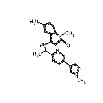 CC(Nc1cc(=O)n(C)c2ccc(N)cc12)c1ncc(-c2cnn(C)c2)cn1